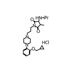 CC(C)NC1C(=O)N(CCCN2CCN(c3ccccc3OCC3CC3)CC2)C(=O)C1C.Cl